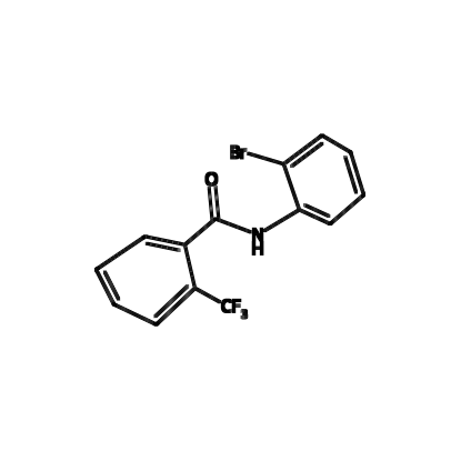 O=C(Nc1ccccc1Br)c1ccccc1C(F)(F)F